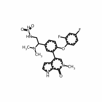 CN(C)C(CN[SH](=O)=O)c1ccc(Oc2ccc(F)cc2F)c(-c2cn(C)c(=O)c3[nH]ccc23)c1